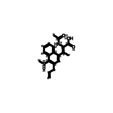 C=CCc1cc(C(C)=C(NC(C)=O)C(=O)O)c2ccccc2c1[SiH](C)C